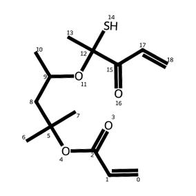 C=CC(=O)OC(C)(C)CC(C)OC(C)(S)C(=O)C=C